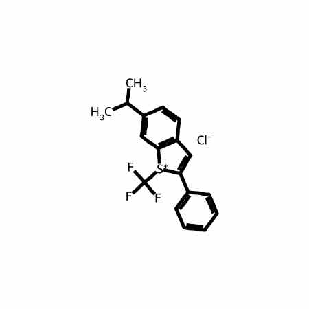 CC(C)c1ccc2cc(-c3ccccc3)[s+](C(F)(F)F)c2c1.[Cl-]